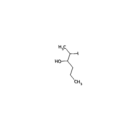 CCCC(O)C(C)I